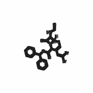 O=CNC1C(=O)N2C(C(=O)OC(c3ccccc3)c3ccccc3)C(C=C(Br)Br)=CS[C@H]12